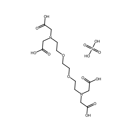 O=C(O)CN(CCOCCOCCN(CC(=O)O)CC(=O)O)CC(=O)O.O=S(=O)(O)O